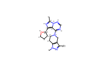 CCc1nn(C)c2c1CN(c1ncnn3c(C)nc([C@H]4CCCO4)c13)CC2